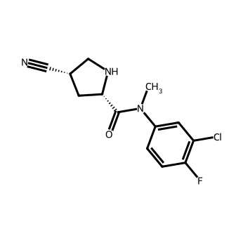 CN(C(=O)[C@@H]1C[C@H](C#N)CN1)c1ccc(F)c(Cl)c1